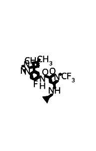 CC1CC(c2ccc(F)c(NC(=O)c3cc(CNCC4CC4)cn(CC(F)(F)F)c3=O)c2)(c2nncn2C)C1